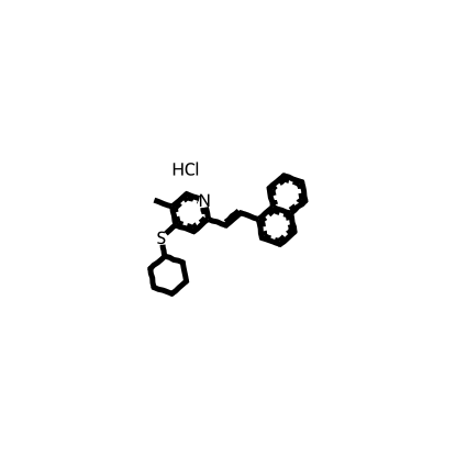 Cc1cnc(/C=C/c2cccc3ccccc23)cc1SC1CCCCC1.Cl